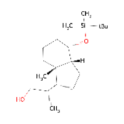 C[C@H](CO)[C@H]1CC[C@H]2[C@@H](O[Si](C)(C)C(C)(C)C)CCC[C@@]12C